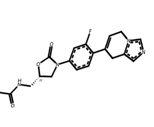 CC(=O)NC[C@H]1CN(c2ccc(C3=CCn4cncc4C3)c(F)c2)C(=O)O1